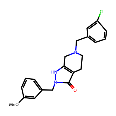 COc1cccc(Cn2[nH]c3c(c2=O)CCN(Cc2cccc(Cl)c2)C3)c1